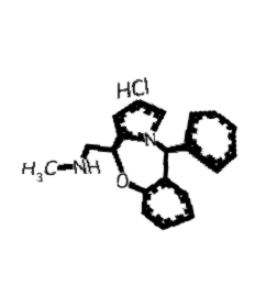 CNCC1Oc2ccccc2C(c2ccccc2)n2cccc21.Cl